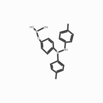 Cc1ccc(NN(c2ccc(C)cc2)c2ccc(OB(O)O)cc2)cc1